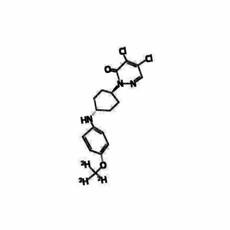 [2H]C([2H])([2H])Oc1ccc(N[C@H]2CC[C@H](n3ncc(Cl)c(Cl)c3=O)CC2)cc1